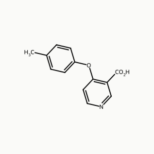 Cc1ccc(Oc2ccncc2C(=O)O)cc1